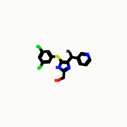 CC(C)C(c1cccnc1)c1nc(CO)[nH]c1Sc1cc(Cl)cc(Cl)c1